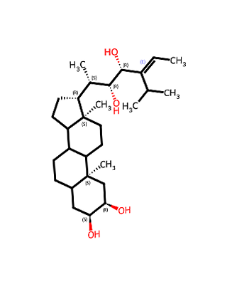 C/C=C(\C(C)C)[C@@H](O)[C@H](O)[C@@H](C)[C@H]1CCC2C3CCC4C[C@H](O)[C@H](O)C[C@]4(C)C3CC[C@@]21C